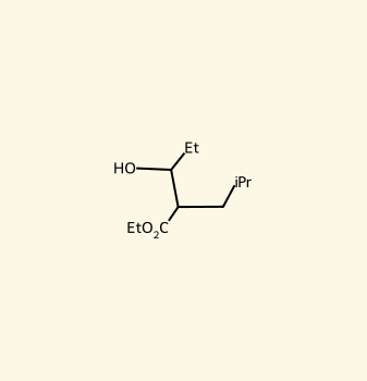 CCOC(=O)C(CC(C)C)C(O)CC